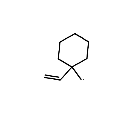 [CH2]C1(C=C)CCCCC1